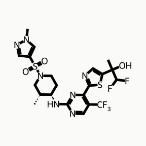 C[C@@H]1CN(S(=O)(=O)c2cnn(C)c2)CC[C@@H]1Nc1ncc(C(F)(F)F)c(-c2ncc(C(C)(O)C(F)F)s2)n1